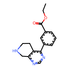 CCOC(=O)c1cccc(-c2ncnc3c2CCNC3)c1